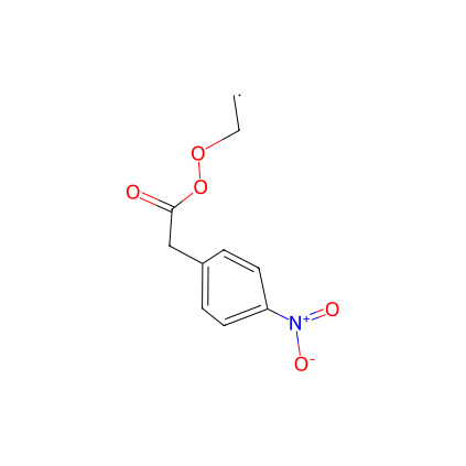 [CH2]COOC(=O)Cc1ccc([N+](=O)[O-])cc1